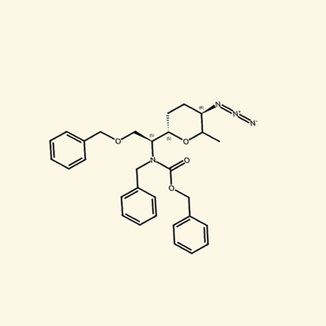 CC1O[C@H]([C@H](COCc2ccccc2)N(Cc2ccccc2)C(=O)OCc2ccccc2)CC[C@H]1N=[N+]=[N-]